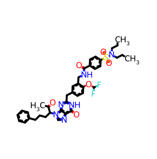 CCCN(CCC)S(=O)(=O)c1ccc(C(=O)NCc2cc(Cc3nc4c(ncn4C(CCCc4ccccc4)C(C)=O)c(=O)[nH]3)ccc2OC(F)F)cc1